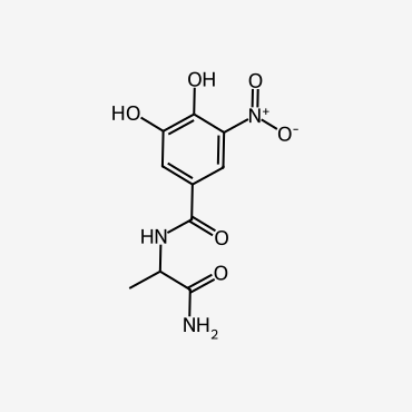 CC(NC(=O)c1cc(O)c(O)c([N+](=O)[O-])c1)C(N)=O